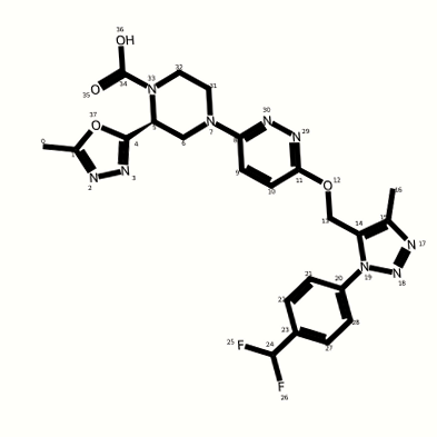 Cc1nnc([C@@H]2CN(c3ccc(OCc4c(C)nnn4-c4ccc(C(F)F)cc4)nn3)CCN2C(=O)O)o1